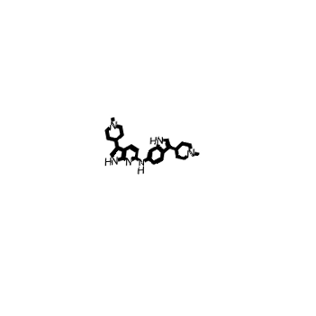 CN1CCC(c2c[nH]c3cc(Nc4ccc5c(C6CCN(C)CC6)c[nH]c5n4)ccc23)CC1